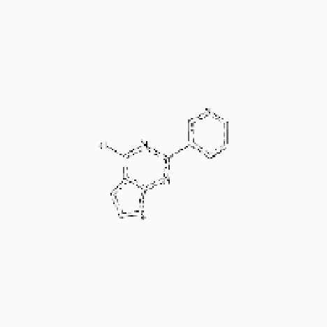 Clc1nc(-c2cccnc2)nc2sccc12